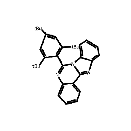 CC(C)(C)c1cc(C(C)(C)C)c(-c2nc3ccccc3c3nc4ccccc4n23)c(C(C)(C)C)c1